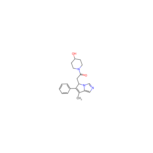 CC1=C(c2ccccc2)C(CC(=O)N2CCC(O)CC2)n2cncc21